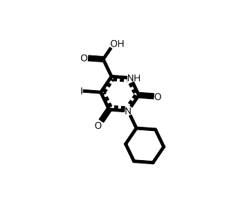 O=C(O)c1[nH]c(=O)n(C2CCCCC2)c(=O)c1I